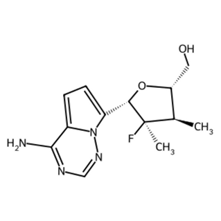 C[C@@H]1[C@@H](CO)O[C@@H](c2ccc3c(N)ncnn23)[C@]1(C)F